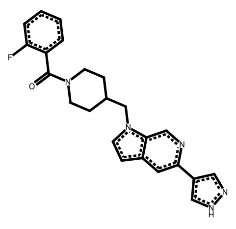 O=C(c1ccccc1F)N1CCC(Cn2ccc3cc(-c4cn[nH]c4)ncc32)CC1